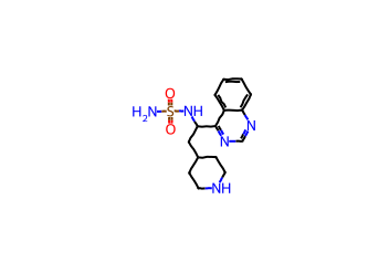 NS(=O)(=O)NC(CC1CCNCC1)c1ncnc2ccccc12